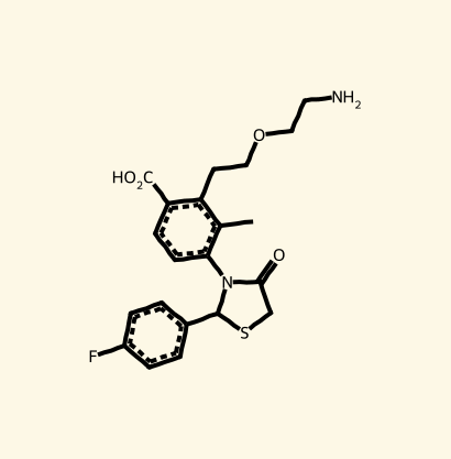 Cc1c(N2C(=O)CSC2c2ccc(F)cc2)ccc(C(=O)O)c1CCOCCN